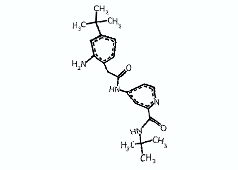 CC(C)(C)NC(=O)c1cc(NC(=O)Cc2ccc(C(C)(C)C)cc2N)ccn1